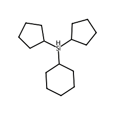 C1CCC([SiH](C2CCCC2)C2CCCC2)CC1